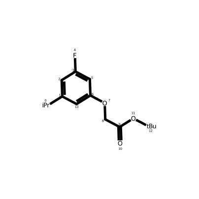 CC(C)c1cc(F)cc(OCC(=O)OC(C)(C)C)c1